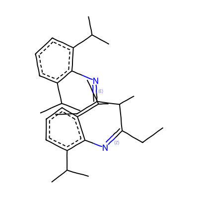 CC/C(=N/c1c(C(C)C)cccc1C(C)C)C(C)/C(CC)=N/c1c(C(C)C)cccc1C(C)C